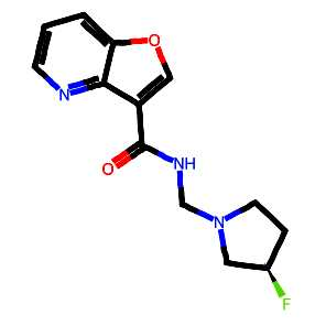 O=C(NCN1CC[C@@H](F)C1)c1coc2cccnc12